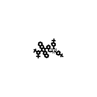 CC(C)(C)c1ccc(-c2nc(CCc3ccccc3-c3c4cc5ccccc5cc4c(-c4cc(C(C)(C)C)cc(C(C)(C)C)c4)c4cc5ccccc5cc34)nc(-c3ccc(C(C)(C)C)cc3)n2)cc1